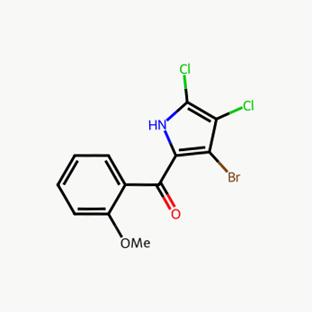 COc1ccccc1C(=O)c1[nH]c(Cl)c(Cl)c1Br